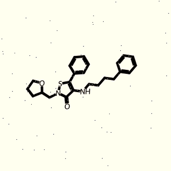 O=c1c(NCCCCc2ccccc2)c(-c2ccccc2)sn1CC1CCCO1